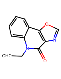 O=CCn1c(=O)c2ncoc2c2ccccc21